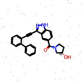 O=C(c1ccc2[nH]nc(C#Cc3ccccc3-c3ccccc3)c2c1)N1CC[C@H](O)C1